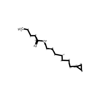 CCCCC(=O)OCCCCCCCC1CC1